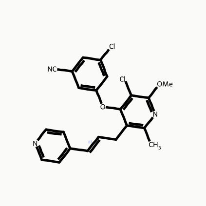 COc1nc(C)c(C/C=C/c2ccncc2)c(Oc2cc(Cl)cc(C#N)c2)c1Cl